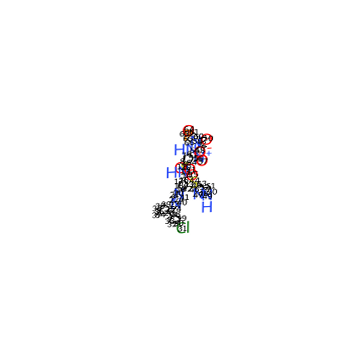 COCC(CNc1ccc(S(=O)(=O)NC(=O)c2ccc(N3CCN(CC4=C(c5ccc(Cl)cc5)CC(C)(C)CC4)CC3)cc2Sc2cnc3[nH]ccc3c2)cc1[N+](=O)[O-])N1CCP(C)(=O)CC1